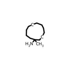 CC1(N)CCCCCCCCCCC1